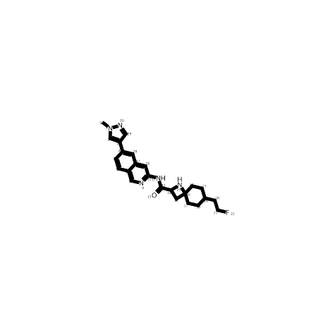 Cn1cc(-c2ccc3cnc(NC(=O)C4CC5(CCC(CCF)CC5)N4)cc3c2)cn1